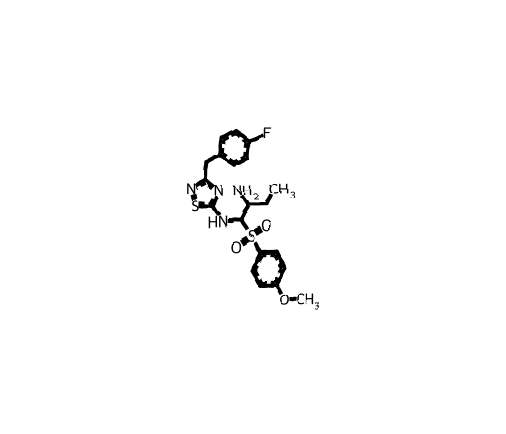 CCC(N)C(Nc1nc(Cc2ccc(F)cc2)ns1)S(=O)(=O)c1ccc(OC)cc1